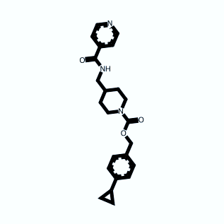 O=C(NCC1CCN(C(=O)OCc2ccc(C3CC3)cc2)CC1)c1ccncc1